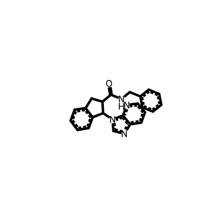 O=C(NCc1ccccc1)C1Cc2ccccc2C1n1cnc2cccnc21